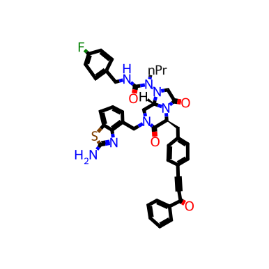 CCCN(C(=O)NCc1ccc(F)cc1)N1CC(=O)N2[C@@H](Cc3ccc(C#CC(=O)c4ccccc4)cc3)C(=O)N(Cc3cccc4sc(N)nc34)C[C@@H]21